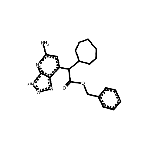 Nc1cc(C(C(=O)OCc2ccccc2)C2CCCCCC2)c2nn[nH]c2n1